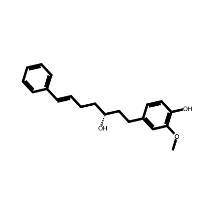 COc1cc(CC[C@H](O)CC/C=C/c2ccccc2)ccc1O